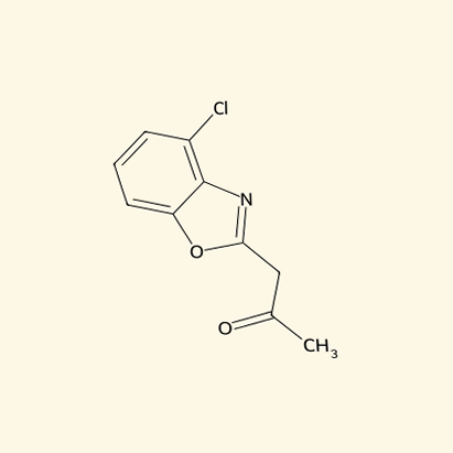 CC(=O)Cc1nc2c(Cl)cccc2o1